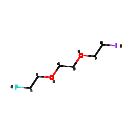 FCCOCCOCCI